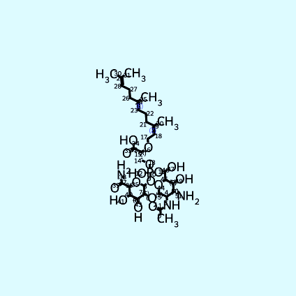 CC(=O)NC1[C@H](O[C@@H]2C(OP(=O)(O)OC[C@@H](OC/C=C(/C)CC/C=C(\C)CCC=C(C)C)C(=O)O)OC(C(N)=O)C(O)[C@@H]2O)OC(CO)[C@@H](O)[C@@H]1N